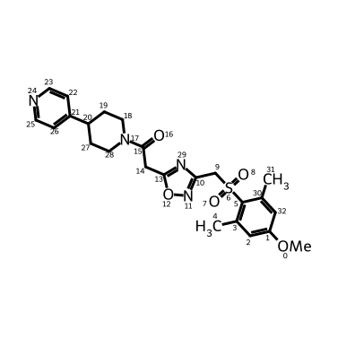 COc1cc(C)c(S(=O)(=O)Cc2noc(CC(=O)N3CCC(c4ccncc4)CC3)n2)c(C)c1